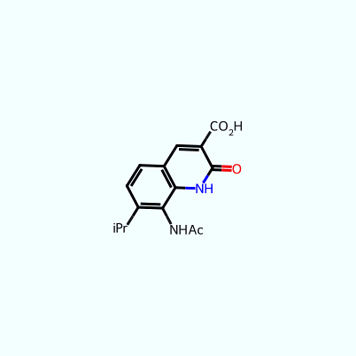 CC(=O)Nc1c(C(C)C)ccc2cc(C(=O)O)c(=O)[nH]c12